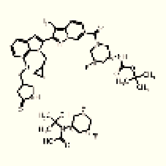 CC(C)(C)N(C(=O)O)[C@H]1CNC[C@H](F)C1.Cc1c(-c2cc3cccc(OCC4CNC(=O)C4)c3n2CC2CC2)nn2cc(C(=O)N3C[C@H](F)C[C@@H](NC(=O)OC(C)(C)C)C3)ccc12